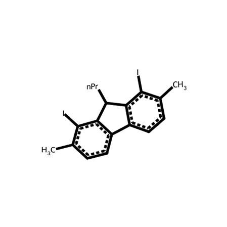 CCCC1c2c(ccc(C)c2I)-c2ccc(C)c(I)c21